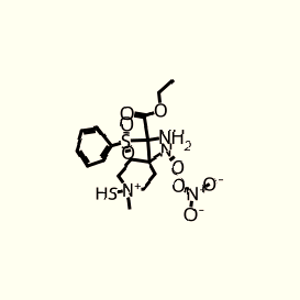 CCOC(=O)C(N)(C1(N=O)CC[N+](C)(S)CC1)S(=O)(=O)c1ccccc1.O=[N+]([O-])[O-]